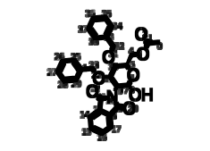 CC(=O)OC[C@H]1O[C@H](O)[C@@H](N2C(=O)c3ccccc3C2=O)[C@@H](OCc2ccccc2)[C@@H]1OCc1ccccc1